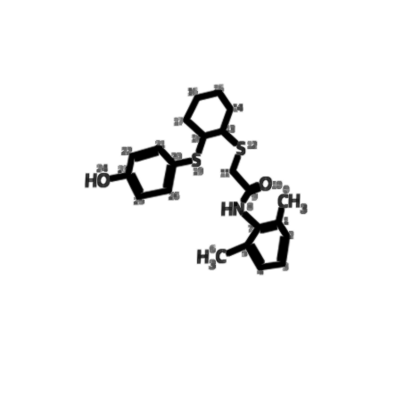 Cc1cccc(C)c1NC(=O)CSC1CCCCC1Sc1ccc(O)cc1